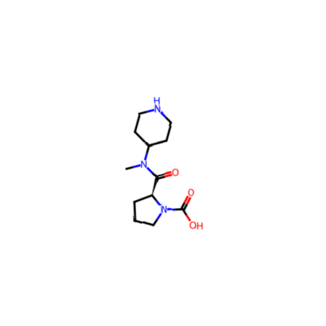 CN(C(=O)[C@@H]1CCCN1C(=O)O)C1CCNCC1